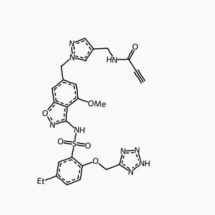 C#CC(=O)NCc1cnn(Cc2cc(OC)c3c(NS(=O)(=O)c4cc(CC)ccc4OCc4nn[nH]n4)noc3c2)c1